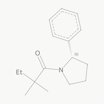 CCC(C)(C)C(=O)N1CCC[C@H]1c1ccccc1